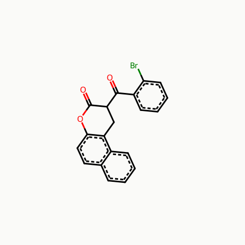 O=C1Oc2ccc3ccccc3c2CC1C(=O)c1ccccc1Br